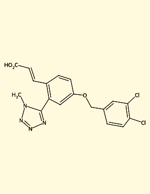 Cn1nnnc1-c1cc(OCc2ccc(Cl)c(Cl)c2)ccc1C=CC(=O)O